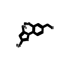 COc1cc(CCl)ccc1-n1nc(C(F)(F)F)cc1C